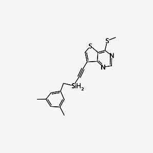 CSc1ncnc2c(C#C[SiH2]Cc3cc(C)cc(C)c3)csc12